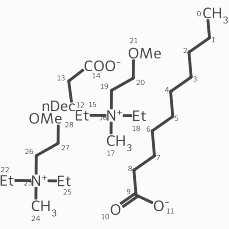 CCCCCCCCCC(=O)[O-].CCCCCCCCCCCC(=O)[O-].CC[N+](C)(CC)CCOC.CC[N+](C)(CC)CCOC